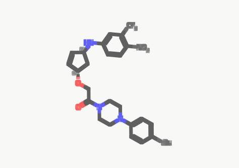 CC(C)(C)c1ccc(N2CCN(C(=O)CO[C@@H]3C=C[C@@H](Nc4ccc([N+](=O)[O-])c(C(F)(F)F)c4)C3)CC2)cc1